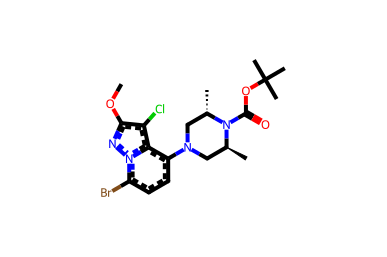 COc1nn2c(Br)ccc(N3C[C@H](C)N(C(=O)OC(C)(C)C)[C@@H](C)C3)c2c1Cl